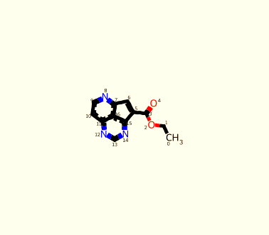 CCOC(=O)C1=Cc2nccc3ncnc1c23